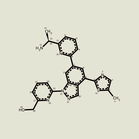 Cc1cnc(-c2cc(-c3cccc([C@H](C)N)n3)cc3c2cnn3-c2cccc(CO)n2)s1